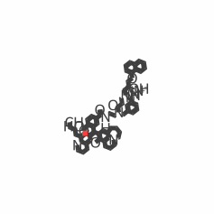 CCCCc1cc2c(c3c1=NCCC3)Oc1c(cc3c4c1CCCN4CCCC3)C=2c1cc(C(=O)NCCN(Cc2cccc(N=[N+]=[N-])c2)C(=O)CCNC[C@H](O)COc2cccc3ccccc23)ccc1C(=O)O